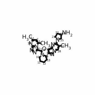 Cc1cc(C)n2c(C(=O)N3CCCC[C@H]3c3cc4nc(N5CC[C@H](N)C5)c(C)cn4n3)nnc2n1